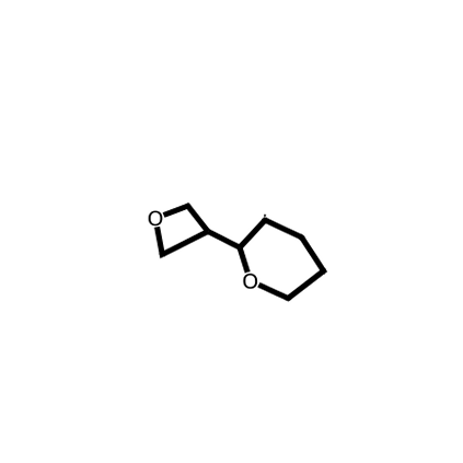 [CH]1CCCOC1C1COC1